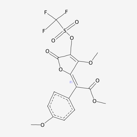 COC(=O)/C(=C1/OC(=O)C(OS(=O)(=O)C(F)(F)F)=C1OC)c1ccc(OC)cc1